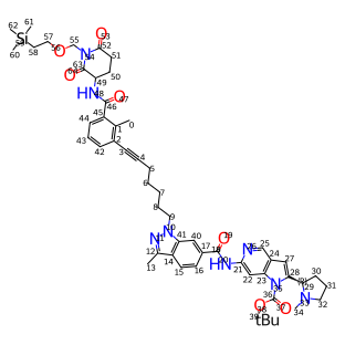 Cc1c(C#CCCCCCn2nc(C)c3ccc(C(=O)Nc4cc5c(cn4)cc([C@H]4CCCN4C)n5C(=O)OC(C)(C)C)cc32)cccc1C(=O)NC1CCC(=O)N(COCC[Si](C)(C)C)C1=O